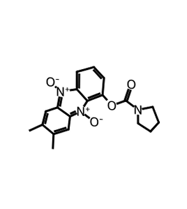 Cc1cc2c(cc1C)[n+]([O-])c1c(OC(=O)N3CCCC3)cccc1[n+]2[O-]